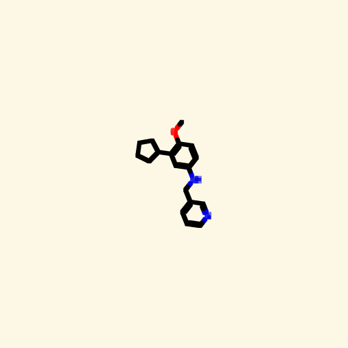 COc1ccc(NCc2cccnc2)cc1C1CCCC1